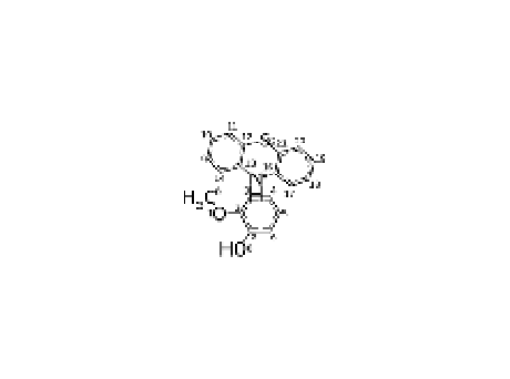 COc1ccccc1O.c1ccc2c(c1)Nc1ccccc1S2